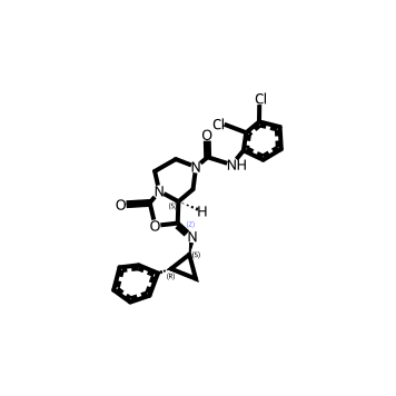 O=C(Nc1cccc(Cl)c1Cl)N1CCN2C(=O)O/C(=N\[C@H]3C[C@@H]3c3ccccc3)[C@@H]2C1